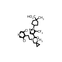 CC1(CN(CCc2c(Cl)cncc2Cl)C(=O)c2cnn(C3CCC(C)(C(=O)O)CC3)c2C(F)(F)F)CC1